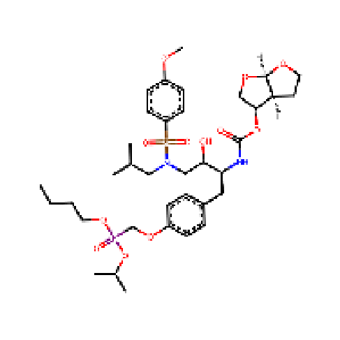 CCCCOP(=O)(COc1ccc(C[C@H](NC(=O)O[C@H]2CO[C@H]3OCC[C@H]32)[C@H](O)CN(CC(C)C)S(=O)(=O)c2ccc(OC)cc2)cc1)OC(C)C